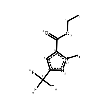 CCOC(=O)c1cc(C(F)(F)F)nn1C